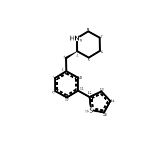 c1cc(C[C@@H]2CCCCN2)cc(-c2cccs2)c1